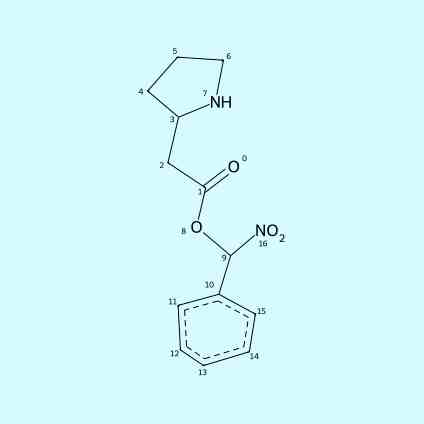 O=C(CC1CCCN1)OC(c1ccccc1)[N+](=O)[O-]